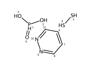 O=[PH](O)O.SS.c1ccnnc1